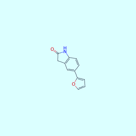 O=C1Cc2cc(-c3ccco3)ccc2N1